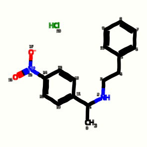 CC(NCCc1ccccc1)c1ccc([N+](=O)[O-])cc1.Cl